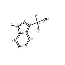 [2H]C(C)(O)c1cn(C)c2ncccc12